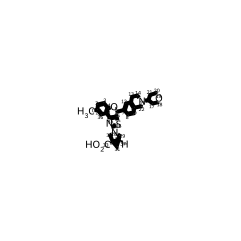 Cc1ccc(OCc2ccc3c(c2)CCN(C2CCOCC2)C3)c(-c2csc(N3C[C@@H]4C[C@]4(C(=O)O)C3)n2)c1